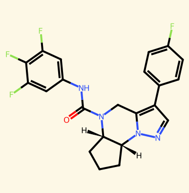 O=C(Nc1cc(F)c(F)c(F)c1)N1Cc2c(-c3ccc(F)cc3)cnn2[C@@H]2CCC[C@@H]21